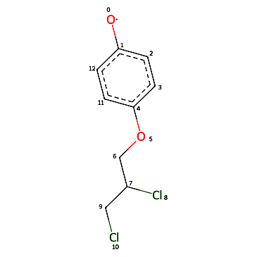 [O]c1ccc(OCC(Cl)CCl)cc1